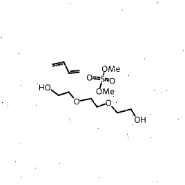 C=CC=C.COS(=O)(=O)OC.OCCOCCOCCO